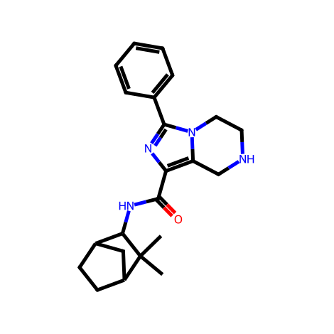 CC1(C)C2CCC(C2)C1NC(=O)c1nc(-c2ccccc2)n2c1CNCC2